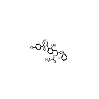 CC(C)CN(c1cccc(C[C@@H](C)[C@H](Cc2ccccc2)OC(N)=O)c1O)S(=O)(=O)c1ccc(Cl)cc1